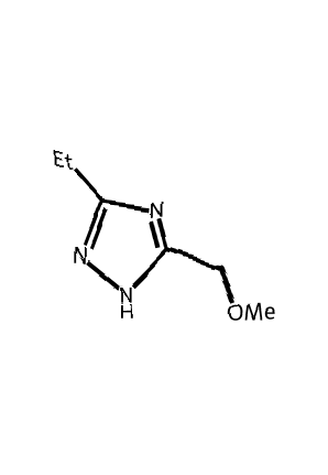 [CH2]Cc1n[nH]c(COC)n1